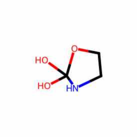 OC1(O)NCCO1